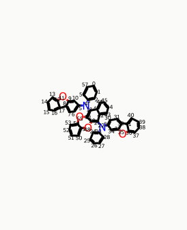 c1ccc(N(c2ccc3c(c2)oc2ccccc23)c2c3c(c(N(c4ccccc4)c4ccc5c(c4)oc4ccccc45)c4ccccc24)Oc2ccccc2O3)cc1